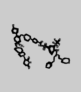 C[C@@]1(CN2CCC3(CC2)CCN(C2CCC(=O)NC2=O)CC3)CCC(c2ccc(Cl)cc2)=C(CN2CCN(c3ccc(C(=O)NS(=O)(=O)c4ccc(N[C@H](CCN5CCCOCC5)CSc5ccccc5)c(S(=O)(=O)C(F)(F)F)c4)cc3)CC2)C1